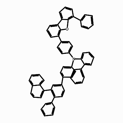 c1ccc(-c2ccc(-c3ccc(N(c4ccc(-c5cccc6c5oc5c(-c7ccccc7)cccc56)cc4)c4ccccc4-c4ccccc4)cc3)cc2-c2cccc3ccccc23)cc1